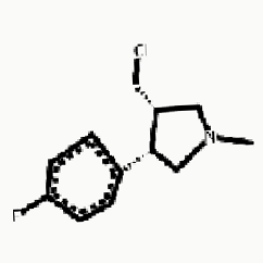 CN1C[C@@H](CCl)[C@@H](c2ccc(F)cc2)C1